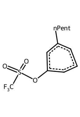 CCCCCc1cccc(OS(=O)(=O)C(F)(F)F)c1